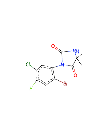 CC1(C)NC(=O)N(c2cc(Cl)c(F)cc2Br)C1=O